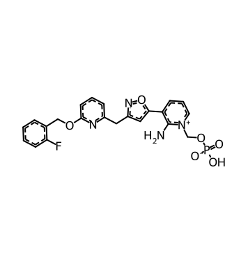 Nc1c(-c2cc(Cc3cccc(OCc4ccccc4F)n3)no2)ccc[n+]1COP(=O)([O-])O